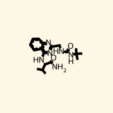 CC(C)[C@H](Nc1nc(CNC(=O)NC(C)(C)C)nc2ccccc12)C(N)=O